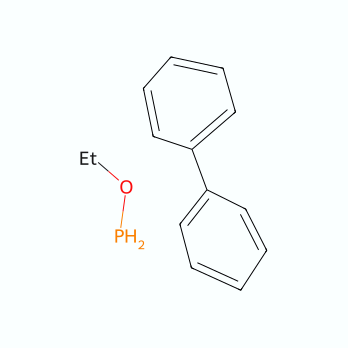 CCOP.c1ccc(-c2ccccc2)cc1